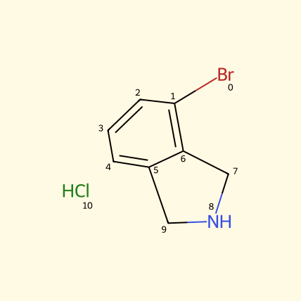 Brc1cccc2c1CNC2.Cl